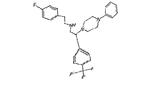 Fc1ccc(CCNCC(c2ccc(C(F)(F)F)cc2)N2CCN(c3ccccc3)CC2)cc1